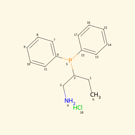 CCC(CN)P(c1ccccc1)c1ccccc1.Cl